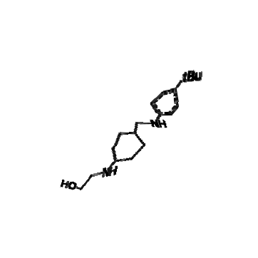 CC(C)(C)c1ccc(NCC2CCC(NCCO)CC2)cc1